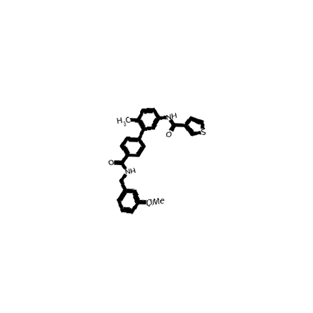 COc1cccc(CNC(=O)c2ccc(-c3cc(NC(=O)c4ccsc4)ccc3C)cc2)c1